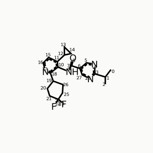 CC(C)c1ncc(C(=O)Nc2c(C3CC3)ccnc2C2CCC(F)(F)CC2)cn1